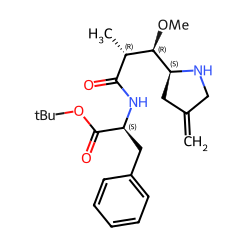 C=C1CN[C@H]([C@H](OC)[C@@H](C)C(=O)N[C@@H](Cc2ccccc2)C(=O)OC(C)(C)C)C1